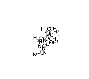 C[C@@H]1CN(c2ncnc3c2C2(CC(O)C2)CN3c2cc(C#N)ccn2)[C@@H](C)CN1C(=O)OC(C)(C)C